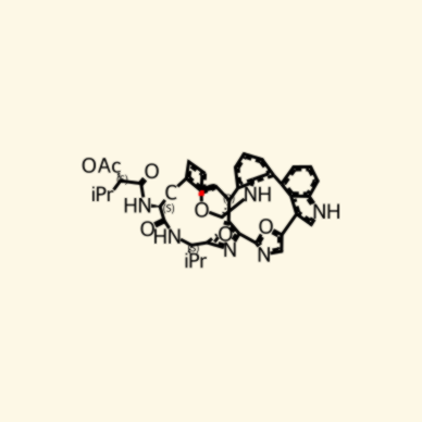 CC(=O)O[C@H](C(=O)N[C@H]1Cc2ccc3c(c2)[C@]24c5cccc(c5NC2O3)-c2cccc3[nH]cc(c23)-c2cnc(o2)-c2nc(oc24)[C@H](C(C)C)NC1=O)C(C)C